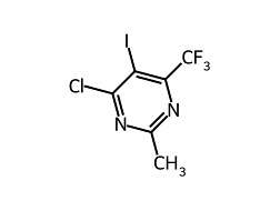 Cc1nc(Cl)c(I)c(C(F)(F)F)n1